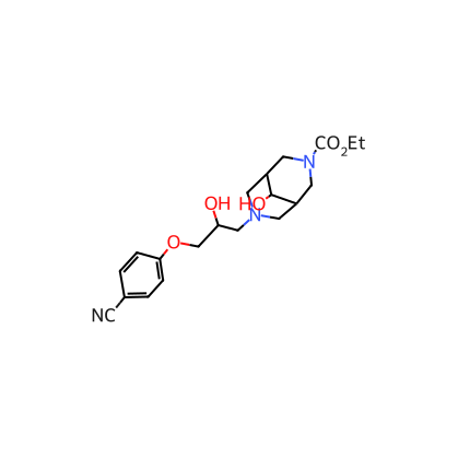 CCOC(=O)N1CC2CN(CC(O)COc3ccc(C#N)cc3)CC(C1)C2O